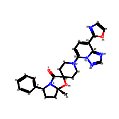 O=C1N2[C@@H](CC[C@H]2c2ccccc2)OC12CCN(c1ccc(-c3ncco3)c3ncnn13)CC2